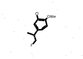 COc1ccc([C](C)CF)cc1Cl